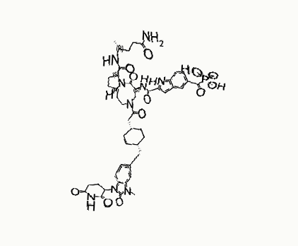 C[C@H](CCC(N)=O)NC(=O)[C@@H]1CC[C@@H]2CCN(C(=O)C[C@H]3CC[C@@H](Cc4ccc5c(c4)n(C)c(=O)n5C4CCC(=O)NC4=O)CC3)C[C@H](NC(=O)c3cc4cc(C(=O)P(=O)(O)O)ccc4[nH]3)C(=O)N21